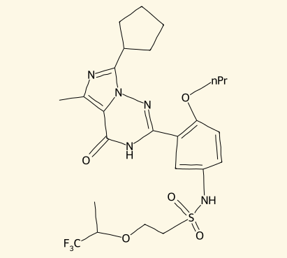 CCCOc1ccc(NS(=O)(=O)CCOC(C)C(F)(F)F)cc1-c1nn2c(C3CCCC3)nc(C)c2c(=O)[nH]1